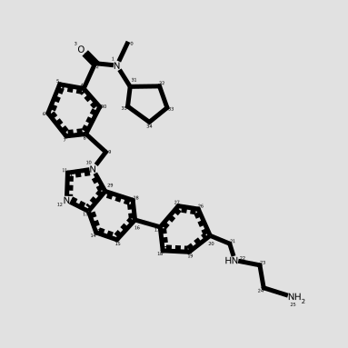 CN(C(=O)c1cccc(Cn2cnc3ccc(-c4ccc(CNCCN)cc4)cc32)c1)C1CCCC1